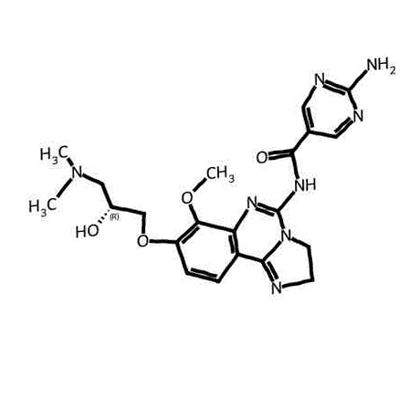 COc1c(OC[C@H](O)CN(C)C)ccc2c1N=C(NC(=O)c1cnc(N)nc1)N1CCN=C21